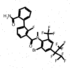 CN(C(=O)c1cccc(-c2ccccc2C(N)=O)c1F)c1c(Br)cc(C(F)(C(F)(F)F)C(F)(F)F)cc1C(F)(F)F